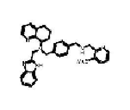 CSc1cccnc1CNCc1ccc(CN(Cc2nc3ccccc3[nH]2)C2CCCc3cccnc32)cc1